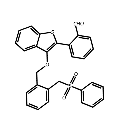 O=Cc1ccccc1-c1sc2ccccc2c1OCc1ccccc1CS(=O)(=O)c1ccccc1